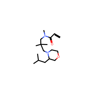 C=CC(=O)N(C)CC(C)(C)CN1CCOCC1CC(C)C